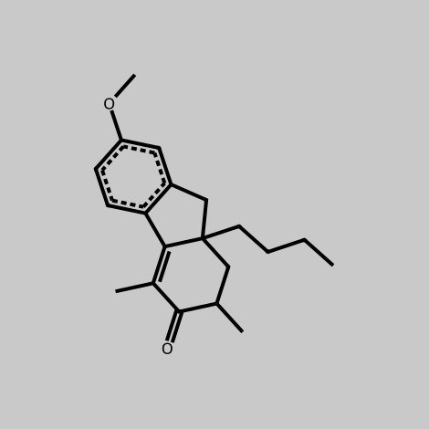 CCCCC12Cc3cc(OC)ccc3C1=C(C)C(=O)C(C)C2